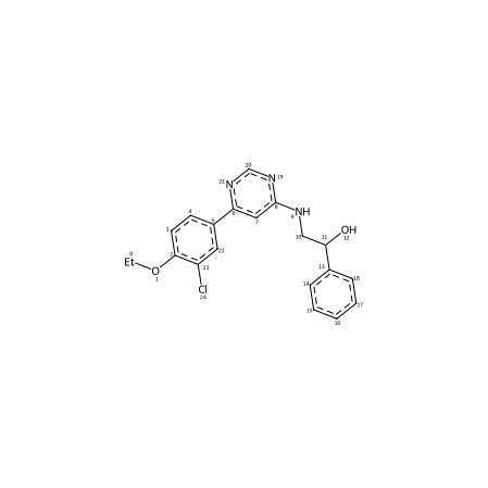 CCOc1ccc(-c2cc(NCC(O)c3ccccc3)ncn2)cc1Cl